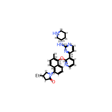 CCC1CC(=O)N(c2cccc3c(Oc4ncccc4-c4ccnc(N[C@H]5CCCNC5)n4)c(C)ccc23)C1